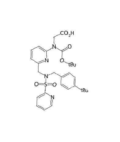 CC(C)(C)OC(=O)N(CC(=O)O)c1cccc(CN(Cc2ccc(C(C)(C)C)cc2)S(=O)(=O)c2ccccn2)n1